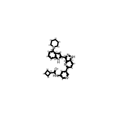 O=C(Nc1cncc(-c2ccc3[nH]nc(-c4cc5c(N6CCCCC6)cccc5[nH]4)c3n2)c1)C1CCC1